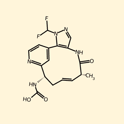 C[C@@H]1/C=C/C[C@H](NC(=O)O)c2cc(ccn2)-c2c(cnn2C(F)F)NC1=O